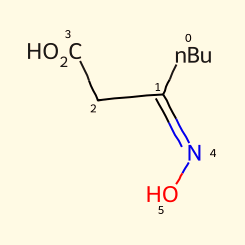 CCCC/C(CC(=O)O)=N/O